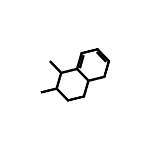 CC1CCC2CC=CC=C2C1C